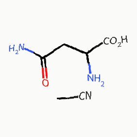 CC#N.NC(=O)CC(N)C(=O)O